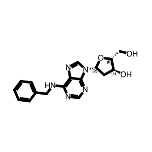 OC[C@H]1O[C@@H](n2cnc3c(NCc4ccccc4)ncnc32)C[C@@H]1O